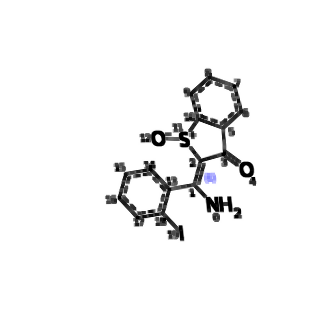 N/C(=C1\C(=O)c2ccccc2[S+]1[O-])c1ccccc1I